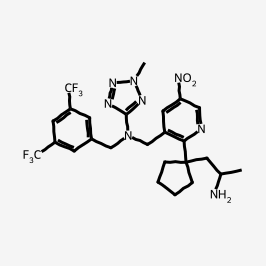 CC(N)CC1(c2ncc([N+](=O)[O-])cc2CN(Cc2cc(C(F)(F)F)cc(C(F)(F)F)c2)c2nnn(C)n2)CCCC1